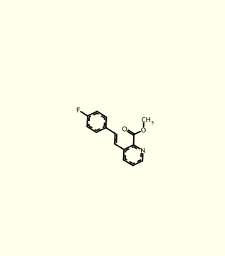 COC(=O)c1ncccc1C=Cc1ccc(F)cc1